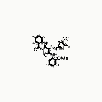 [C-]#[N+]c1sc(N=NC(C(=O)Nc2ccccc2OC)c2nc3ccccc3c(=O)[nH]2)nc1C